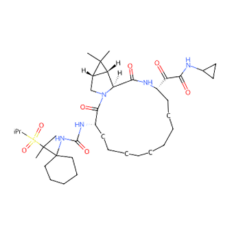 CC(C)S(=O)(=O)C(C)(C)C1(NC(=O)N[C@H]2CCCCCCCCC[C@@H](C(=O)C(=O)NC3CC3)NC(=O)[C@@H]3[C@@H]4[C@H](CN3C2=O)C4(C)C)CCCCC1